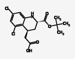 CC(C)(C)OC(=O)[C@@H]1C[C@@H](CC(=O)O)c2c(Cl)cc(Cl)cc2N1